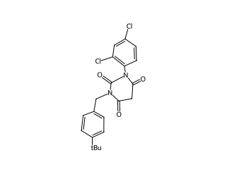 CC(C)(C)c1ccc(CN2C(=O)CC(=O)N(c3ccc(Cl)cc3Cl)C2=O)cc1